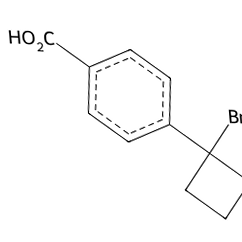 O=C(O)c1ccc(C2(Br)CCC2)cc1